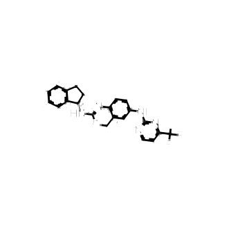 FC(F)(F)c1ccnc(Nc2ccc3c(c2)COC(N[C@@H]2CCc4ccccc42)=N3)n1